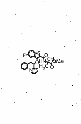 COC(=O)C(C)(C)NC(=O)c1sc2ccc(F)cc2c1OC(Cc1ccccc1)c1nccs1